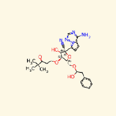 CC(C)(C)C(=O)CCO[C@H]1[C@@H](O)[C@](C#N)(c2ccc3c(N)ncnn23)O[C@@H]1COC(O)Cc1ccccc1